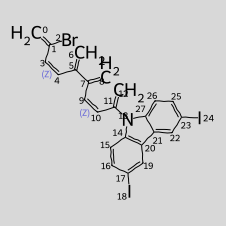 C=C(Br)/C=C\C(=C)C(=C)/C=C\C(=C)n1c2ccc(I)cc2c2cc(I)ccc21